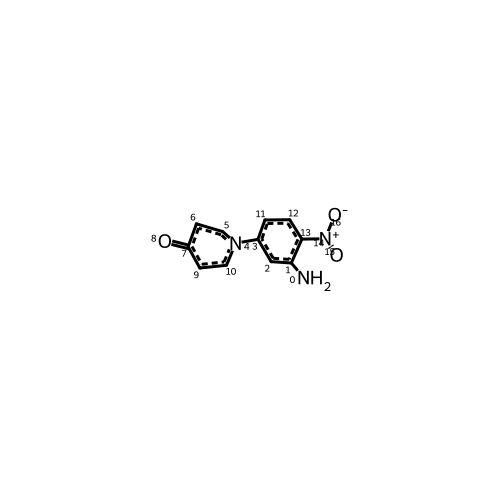 Nc1cc(-n2ccc(=O)cc2)ccc1[N+](=O)[O-]